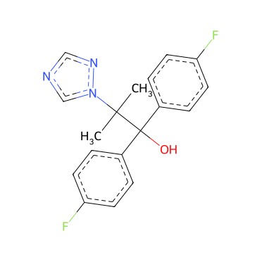 CC(C)(n1cncn1)C(O)(c1ccc(F)cc1)c1ccc(F)cc1